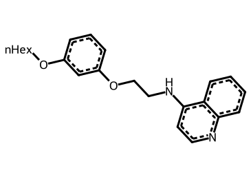 CCCCCCOc1cccc(OCCNc2ccnc3ccccc23)c1